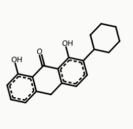 O=C1c2c(O)cccc2Cc2ccc(C3CCCCC3)c(O)c21